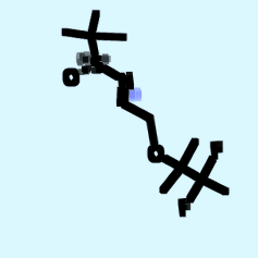 CC(C)(C)[S@@+]([O-])/N=C/COC(C)(C)C(C)(F)F